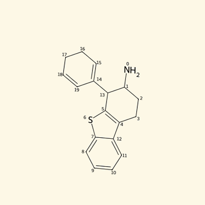 NC1CCc2c(sc3ccccc23)C1C1=CCCC=C1